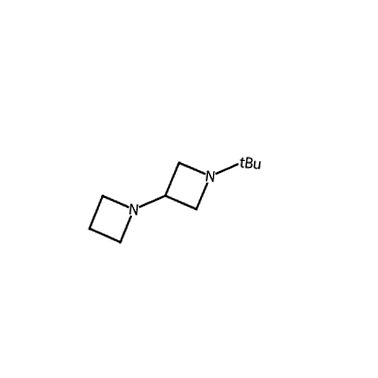 CC(C)(C)N1CC(N2CCC2)C1